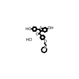 Cl.O=C(c1ccc(OCCN2CCCCCC2)cc1)c1c(-c2ccc(O)cc2)sc2cc(O)ccc12